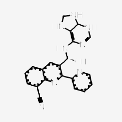 C[C@H](NC1=C2NCNC2NC=N1)c1cc2cccc(C#N)c2nc1-c1ccccn1